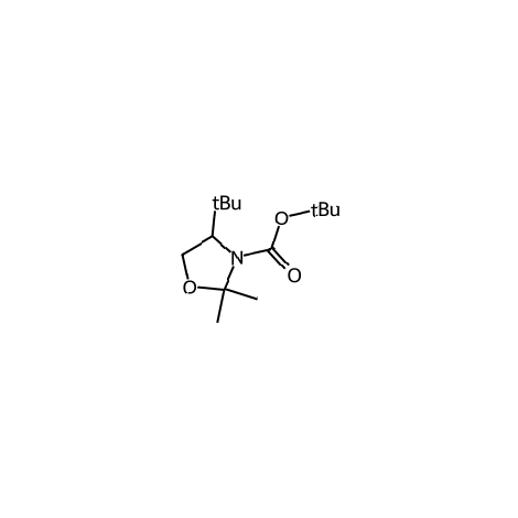 CC(C)(C)OC(=O)N1C(C(C)(C)C)COC1(C)C